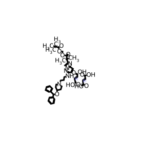 CC(C)(C)C(=O)OCOC(=O)C(C)(C)c1cn2nc(NCCCN3CCC(OC(c4ccccc4)c4ccccc4)CC3)ccc2n1.O=C(O)/C=C/C(=O)O.O=C(O)/C=C/C(=O)O